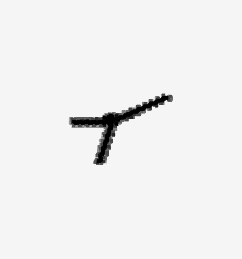 CCCCCCCCCCCCCCCCCn1cc[n+](CCCCCCCCCC)c1CCCCCCCCCCCC